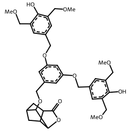 COCc1cc(COc2cc(COC3C4CC5C(=O)OC3C5C4)cc(OCc3cc(COC)c(O)c(COC)c3)c2)cc(COC)c1O